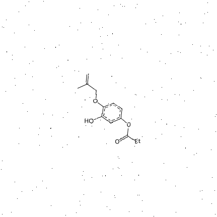 C=C(C)COc1ccc(OC(=O)CC)cc1O